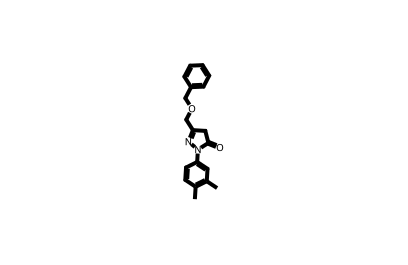 Cc1ccc(N2N=C(COCc3ccccc3)CC2=O)cc1C